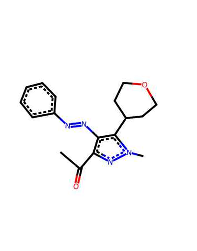 CC(=O)c1nn(C)c(C2CCOCC2)c1/N=N/c1ccccc1